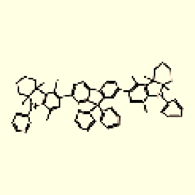 Cc1cc(-c2ccc3c(c2)C(c2ccccc2)(c2ccccc2)c2cc(-c4cc(C)c5c(c4C)C4(C)CCCCC4(C)N5c4ccccc4)ccc2-3)c(C)c2c1N(c1ccccc1)C1(C)CCCCC21C